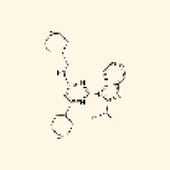 FC(F)c1nc2ccccc2n1-c1nc(NCC2CCOCC2)nc(N2CCOCC2)n1